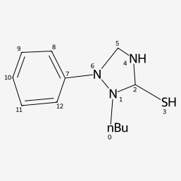 CCCCN1C(S)NCN1c1ccccc1